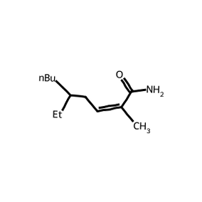 CCCCC(CC)CC=C(C)C(N)=O